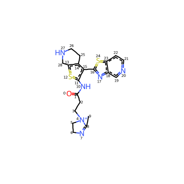 O=C(CC[N+]12CCN=C1C2)Nc1sc2c(c1-c1nc3cnccc3s1)CCNC2